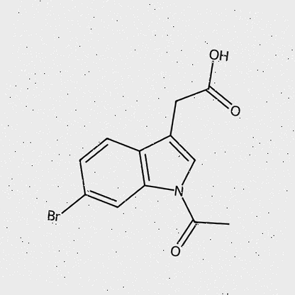 CC(=O)n1cc(CC(=O)O)c2ccc(Br)cc21